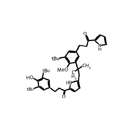 COc1c(C(C)(C)C)cc(CCC(=O)c2ccc[nH]2)cc1C(C)(C)Cc1ccc(C(=O)CCc2cc(C(C)(C)C)c(O)c(C(C)(C)C)c2)[nH]1